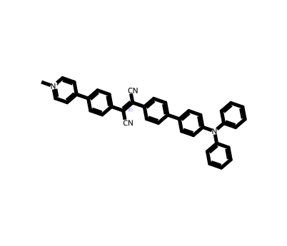 C[n+]1ccc(-c2ccc(/C(C#N)=C(\C#N)c3ccc(-c4ccc(N(c5ccccc5)c5ccccc5)cc4)cc3)cc2)cc1